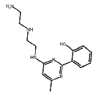 Cc1cc(NCCNCCN)nc(-c2ccccc2O)n1